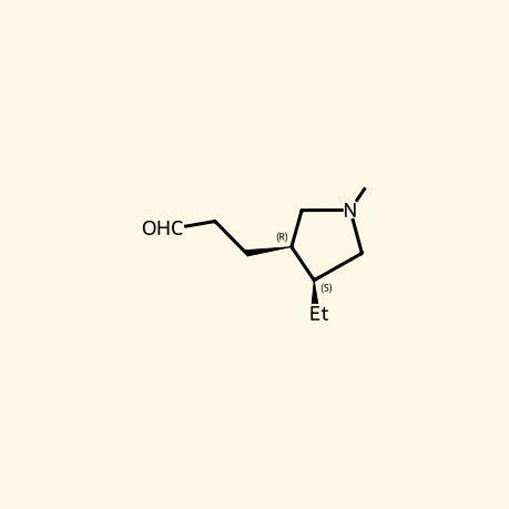 CC[C@@H]1CN(C)C[C@@H]1CCC=O